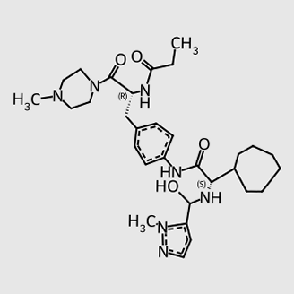 CCC(=O)N[C@H](Cc1ccc(NC(=O)[C@@H](NC(O)c2ccnn2C)C2CCCCCC2)cc1)C(=O)N1CCN(C)CC1